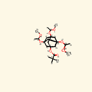 CCOC(C)OC12CC3(OC(=O)C(C)(C)CC)CC(OC(C)OCC)(C1)CC(OC(C)OCC)(C3)C2